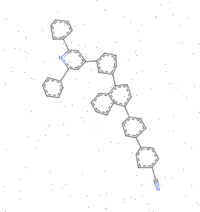 N#Cc1ccc(-c2ccc(-c3ccc(-c4cccc(-c5cc(-c6ccccc6)nc(-c6ccccc6)c5)c4)c4ccccc34)cc2)cc1